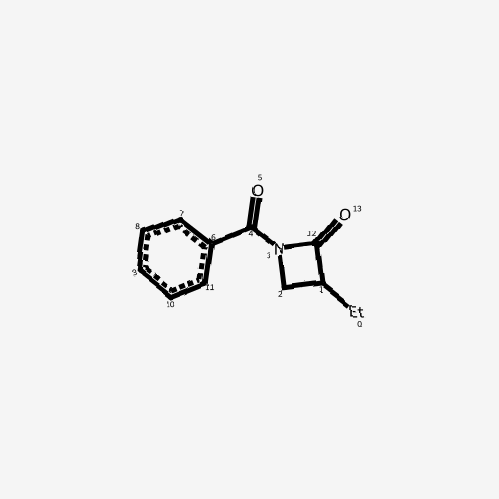 CCC1CN(C(=O)c2ccccc2)C1=O